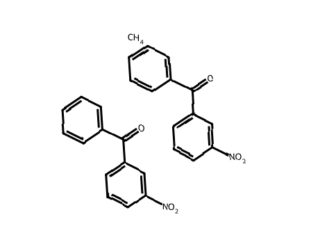 C.O=C(c1ccccc1)c1cccc([N+](=O)[O-])c1.O=C(c1ccccc1)c1cccc([N+](=O)[O-])c1